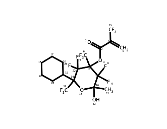 C=C(C(=O)OC1(C(F)(F)F)C(F)(F)C(C)(O)OC(C2CCCCC2)(C(F)(F)F)C1(F)F)C(F)(F)F